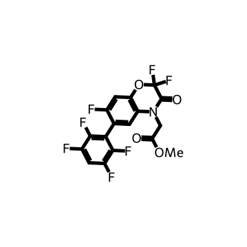 COC(=O)CN1C(=O)C(F)(F)Oc2cc(F)c(-c3c(F)c(F)cc(F)c3F)cc21